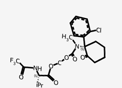 CC(C)[C@H](NC(=O)C(F)(F)F)C(=O)OCOC(=O)N(C)[C@]1(c2ccccc2Cl)CCCCC1=O